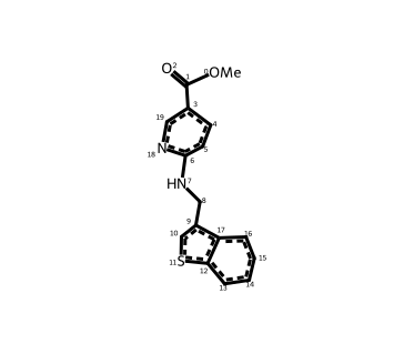 COC(=O)c1ccc(NCc2csc3ccccc23)nc1